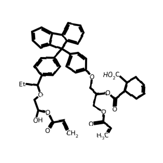 C=CC(=O)OCC(COc1ccc(C2(c3ccc(C(CC)OCC(O)OC(=O)C=C)cc3)c3ccccc3-c3ccccc32)cc1)OC(=O)C1CC=CCC1C(=O)O